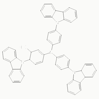 CC1C=C(N(c2ccc(N3c4ccccc4C4C=CC=CC43)cc2)c2ccc(-n3c4ccccc4c4ccccc43)cc2)C=CC1n1c2ccccc2c2ccccc21